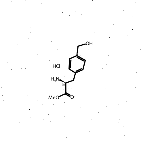 COC(=O)[C@@H](N)Cc1ccc(CO)cc1.Cl